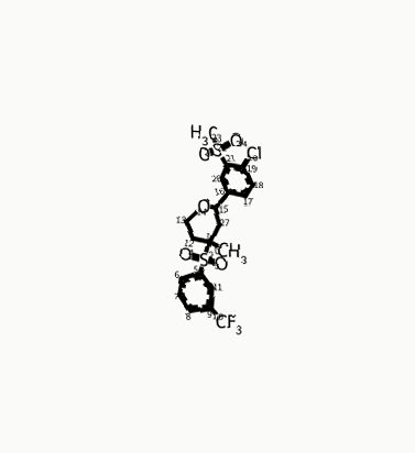 CC1(S(=O)(=O)c2cccc(C(F)(F)F)c2)CCOC(c2ccc(Cl)c(S(C)(=O)=O)c2)C1